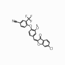 COc1cc(C=C2Oc3cc(Cl)ccc3C2=O)ccc1Oc1ccc(C#N)cc1C(F)(F)F